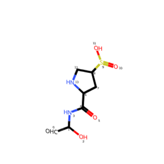 O=CC(O)NC(=O)C1CC(S(=O)O)CN1